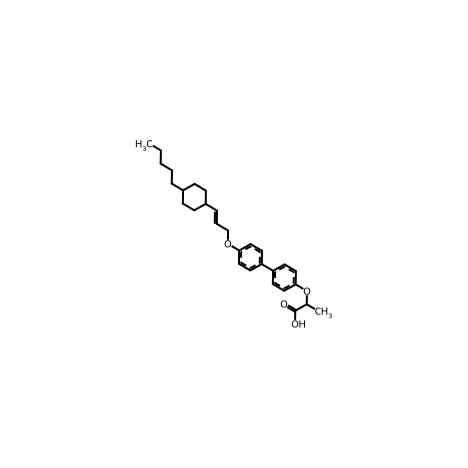 CCCCCC1CCC(C=CCOc2ccc(-c3ccc(OC(C)C(=O)O)cc3)cc2)CC1